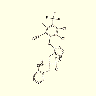 Cc1c(C#N)c(Sc2ncnn2CC(O)(Cc2ccccc2Cl)C2(Cl)CC2)c(Cl)c(Cl)c1C(F)(F)F